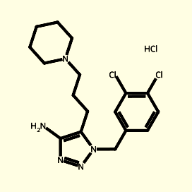 Cl.Nc1nnn(Cc2ccc(Cl)c(Cl)c2)c1CCCN1CCCCC1